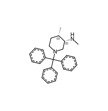 CN[C@@H]1CN(C(c2ccccc2)(c2ccccc2)c2ccccc2)CC[C@@H]1C